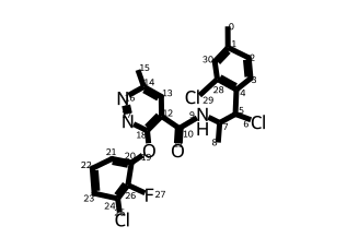 Cc1ccc(C(Cl)C(C)NC(=O)c2cc(C)nnc2Oc2cccc(Cl)c2F)c(Cl)c1